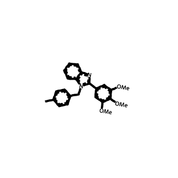 COc1cc(-c2nc3ccccc3n2Cc2ccc(C)cc2)cc(OC)c1OC